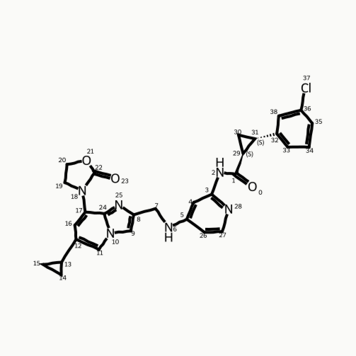 O=C(Nc1cc(NCc2cn3cc(C4CC4)cc(N4CCOC4=O)c3n2)ccn1)[C@H]1C[C@@H]1c1cccc(Cl)c1